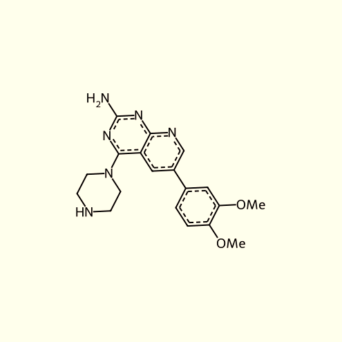 COc1ccc(-c2cnc3nc(N)nc(N4CCNCC4)c3c2)cc1OC